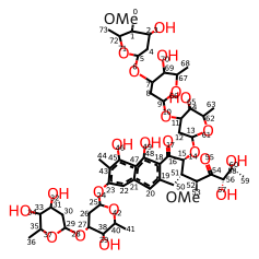 COC1C(O)CC(OC2CC(OC3CC(O[C@@H]4C(=O)c5c(cc6cc(OC7CC(OC8CC(O)C(O)C(C)O8)C(O)C(C)O7)c(C)c(O)c6c5O)C[C@H]4[C@H](OC)C(=O)[C@@H](O)[C@@H](C)O)OC(C)C3O)OC(C)C2O)OC1C